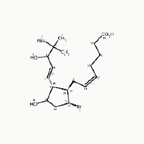 CCCCC(C)(C)C(O)/C=C/[C@H]1C(O)C[C@H](Br)[C@@H]1C/C=C\CCCC(=O)O